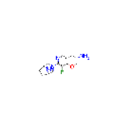 N[C@H]1COc2c(cnc(N3CC4CCC(C3)N4)c2F)C1